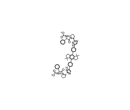 COC(=O)NC(C(=O)N1CCC[C@H]1c1ncc(-c2ccc(-c3c4c(c(-c5ccc(-c6cnc([C@@H]7CCCN7C(=O)C(NC(=O)OC)c7ccccc7)[nH]6)cc5)c5c3C(C)(C)CC5)C(C)(C)CC4)cc2)[nH]1)c1ccccc1